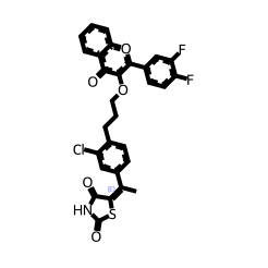 C/C(=C1\SC(=O)NC1=O)c1ccc(CCCOc2c(-c3ccc(F)c(F)c3)oc3ccccc3c2=O)c(Cl)c1